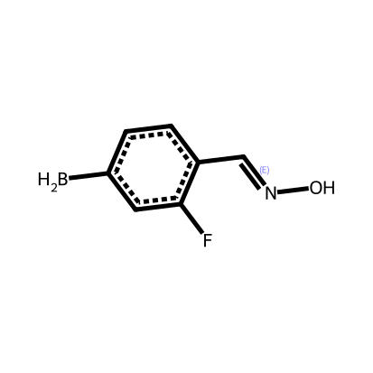 Bc1ccc(/C=N/O)c(F)c1